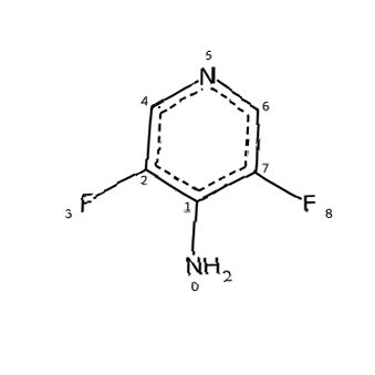 Nc1c(F)[c]ncc1F